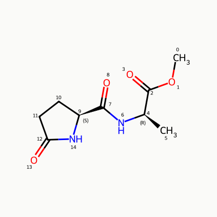 COC(=O)[C@@H](C)NC(=O)[C@@H]1CCC(=O)N1